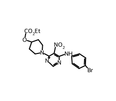 CCOC(=O)OC1CCN(c2ncnc(Nc3ccc(Br)cc3)c2[N+](=O)[O-])CC1